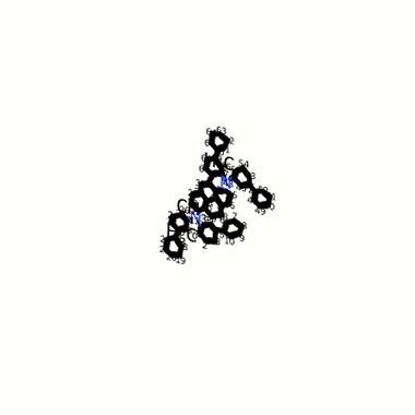 Cc1ccc(-c2ccccc2)cc1N(c1cc(-c2ccccc2)ccc1C)c1ccc2cc3c4c(ccc5ccc1c2c54)N(c1cc(-c2ccccc2)ccc1C)c1cc(-c2ccccc2)ccc1-3